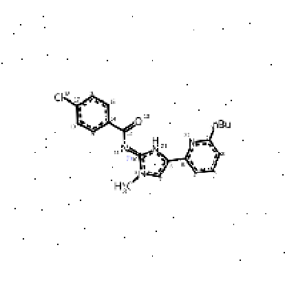 CCCCc1cccc(-c2cn(C)/c(=N/C(=O)c3ccc(Cl)cc3)[nH]2)n1